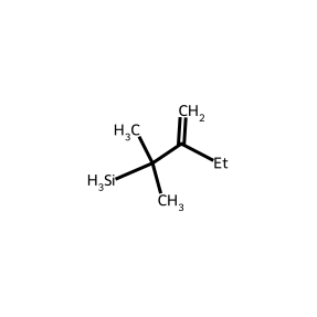 C=C(CC)C(C)(C)[SiH3]